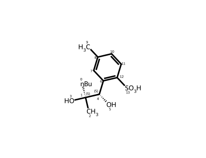 CCCC[C@](C)(O)[C@@H](O)c1cc(C)ccc1S(=O)(=O)O